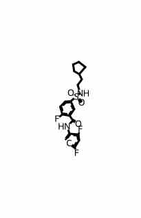 O=C(Nc1ccc(F)cc1F)c1cc(S(=O)(=O)NCCC2CCCC2)ccc1F